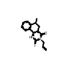 C=CCn1c(=S)[nH]c2c(c1=O)CC(C)c1ccccc1-2